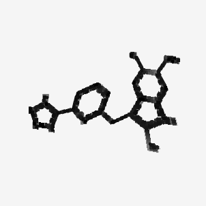 COc1cc2[nH]c(C(C)C)c(Cc3cccc(-c4nnn[nH]4)n3)c2cc1Cl